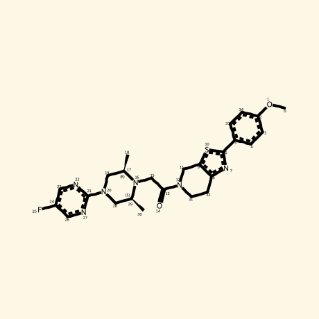 COc1ccc(-c2nc3c(s2)CN(C(=O)CN2[C@H](C)CN(c4ncc(F)cn4)C[C@@H]2C)CC3)cc1